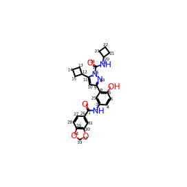 O=C(Nc1ccc(O)c(-c2cc(C3CCC3)n(C(=O)NC3CCC3)n2)c1)c1ccc2c(c1)OCO2